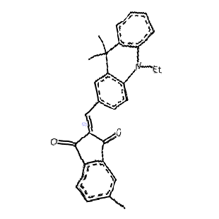 CCN1c2ccccc2C(C)(C)c2cc(/C=C3/C(=O)c4ccc(C)cc4C3=O)ccc21